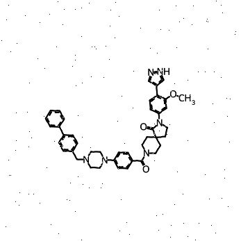 COc1cc(N2CCC3(CCN(C(=O)c4ccc(N5CCN(Cc6ccc(-c7ccccc7)cc6)CC5)cc4)CC3)C2=O)ccc1-c1cn[nH]c1